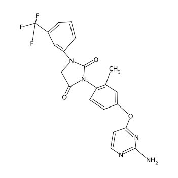 Cc1cc(Oc2ccnc(N)n2)ccc1N1C(=O)CN(c2cccc(C(F)(F)F)c2)C1=O